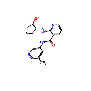 O=C(Nc1cncc(C(F)(F)F)c1)c1cccnc1NC[C@@H]1CCC[C@H]1O